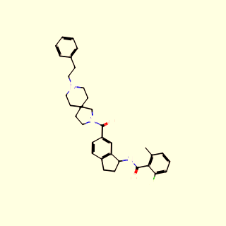 Cc1cccc(Cl)c1C(=O)NC1CCc2ccc(C(=O)N3CCC4(CCN(CCc5ccccc5)CC4)C3)cc21